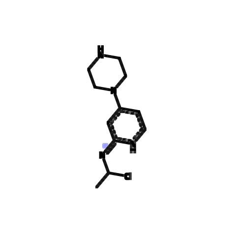 CC(Cl)/N=c1/cc(N2CCNCC2)cc[nH]1